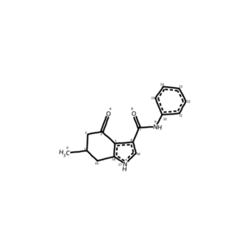 CC1CC(=O)c2c(C(=O)Nc3ccccc3)c[nH]c2C1